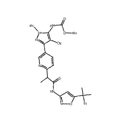 CCC(C)(C)c1cc(NC(=O)C(C)c2ccc(-c3nn(C(C)C)c(NC(=O)OC(C)(C)C)c3C#N)cn2)no1